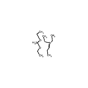 CCC=[N+](CC)CC.CCO[SiH2]OCC